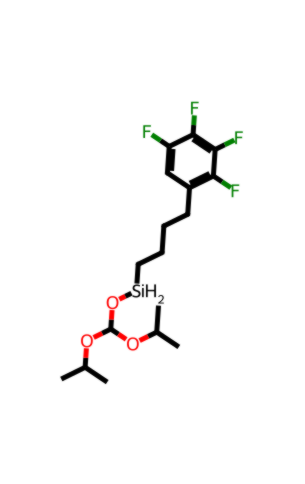 CC(C)OC(O[SiH2]CCCCc1cc(F)c(F)c(F)c1F)OC(C)C